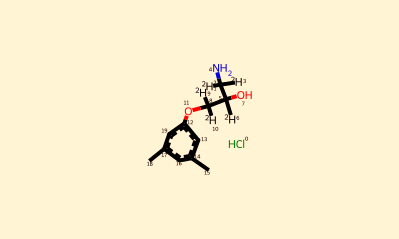 Cl.[2H]C([2H])(N)C([2H])(O)C([2H])([2H])Oc1cc(C)cc(C)c1